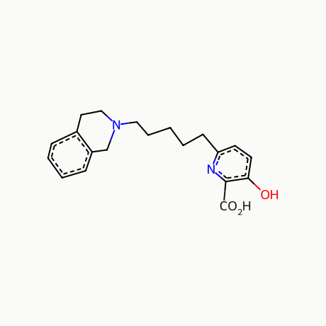 O=C(O)c1nc(CCCCCN2CCc3ccccc3C2)ccc1O